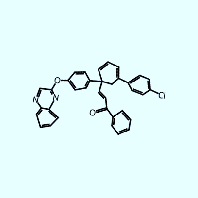 O=C(C=CC1(c2ccc(Oc3cnc4ccccc4n3)cc2)C=CC=C(c2ccc(Cl)cc2)C1)c1ccccc1